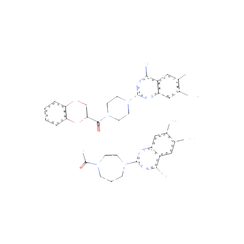 CCCC(=O)N1CCCN(c2nc(N)c3cc(OC)c(OC)cc3n2)CC1.COc1cc2nc(N3CCN(C(=O)C4COc5ccccc5O4)CC3)nc(N)c2cc1OC